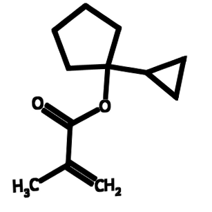 C=C(C)C(=O)OC1(C2CC2)CCCC1